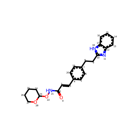 O=C(/C=C/c1ccc(CCc2nc3ccccc3[nH]2)cc1)NOC1CCCCO1